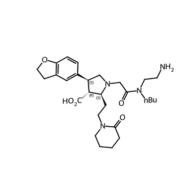 CCCCN(CCN)C(=O)CN1C[C@H](c2ccc3c(c2)CCO3)[C@@H](C(=O)O)[C@@H]1CCN1CCCCC1=O